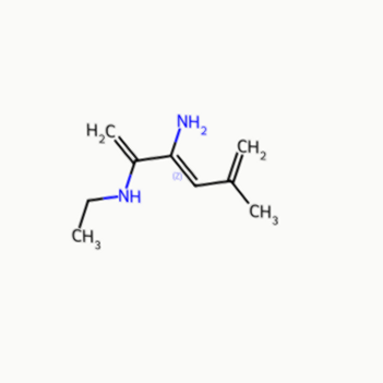 C=C(C)/C=C(\N)C(=C)NCC